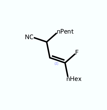 CCCCCC/C(F)=C/C(C#N)CCCCC